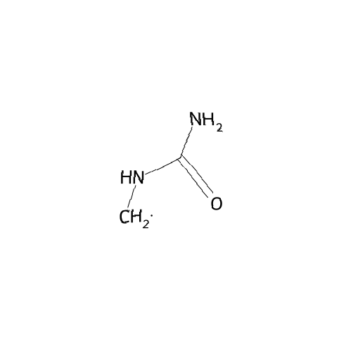 [CH2]NC(N)=O